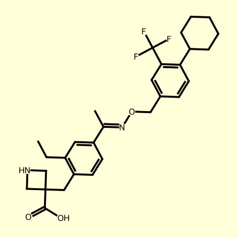 CCc1cc(/C(C)=N/OCc2ccc(C3CCCCC3)c(C(F)(F)F)c2)ccc1CC1(C(=O)O)CNC1